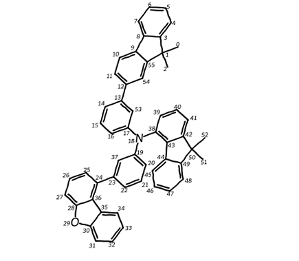 CC1(C)c2ccccc2-c2ccc(-c3cccc(N(c4cccc(-c5cccc6oc7ccccc7c56)c4)c4cccc5c4-c4ccccc4C5(C)C)c3)cc21